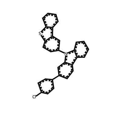 Clc1ccc(-c2ccc3c4ccccc4n(-c4ccc5sc6ccccc6c5c4)c3c2)cc1